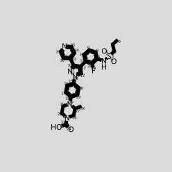 CCCS(=O)(=O)Nc1cccc(-c2cn(-c3ccc(N4CCN(C(=O)O)CC4C)cc3)nc2-c2ccncc2)c1F